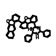 c1ccc(C2N=C(c3cccc4oc5c(-c6cccc7oc8cc9ccccc9cc8c67)cccc5c34)NC(c3ccccc3)N2)cc1